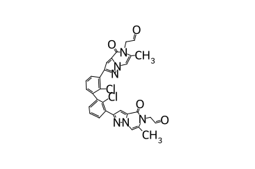 Cc1cn2nc(-c3cccc(-c4cccc(-c5cc6c(=O)n(CC=O)c(C)cn6n5)c4Cl)c3Cl)cc2c(=O)n1CC=O